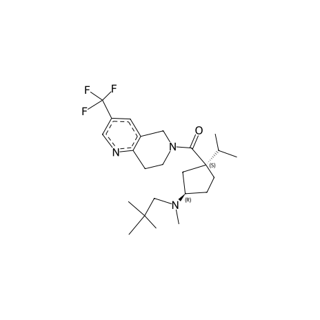 CC(C)[C@]1(C(=O)N2CCc3ncc(C(F)(F)F)cc3C2)CC[C@@H](N(C)CC(C)(C)C)C1